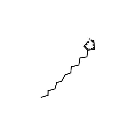 CCCCCCCCCCCCc1c[c]sc1